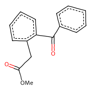 COC(=O)Cc1ccccc1C(=O)c1ccccc1